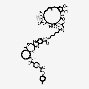 COc1cc2cc(c1Cl)N(C)C(=O)C[C@H](OC(=O)[C@H](C)N(C)C(=O)CCCCCNC(=O)c1ccc3nc4c(nc3c1)CSc1cc(NC(=O)C3CCN(C(=O)COc5ccc(C)cc5)CC3)ccccccc1C(C)SC4)C1(C)O[C@H]1[C@H](C)[C@@H]1C[C@@](O)(NC(=O)O1)[C@H](OC)/C=C/C=C(\C)C2